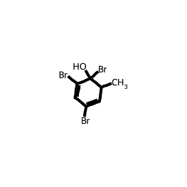 CC1C=C(Br)C=C(Br)C1(O)Br